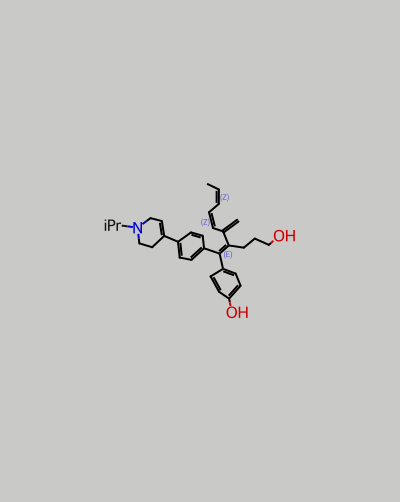 C=C(/C=C\C=C/C)/C(CCCO)=C(/c1ccc(O)cc1)c1ccc(C2=CCN(C(C)C)CC2)cc1